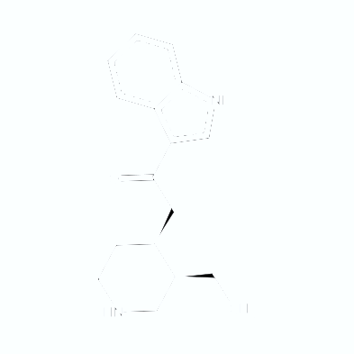 CC[C@H]1CNCC[C@H]1CC(=O)c1c[nH]c2ccccc12